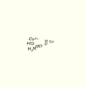 [Cu+2].[Cu].[NH4+].[OH-].[OH-].[OH-]